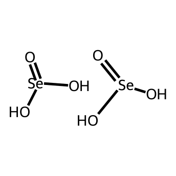 O=[Se](O)O.O=[Se](O)O